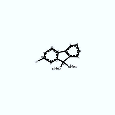 CCCCCCC1(CCCCCC)c2ccccc2-c2ccc(I)cc21